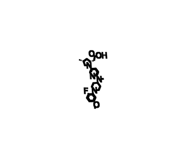 COc1ccc(F)c(N2CCC(N(C)c3ccc(N4C[C@H](C)C[C@@H]4CC(=O)O)cn3)CC2)c1